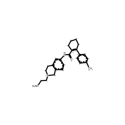 CC(=O)NCCN1CCc2cc(NC(=O)C3=C(c4ccc(C)cc4)CCCC3)ccc2C1